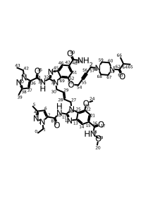 CCn1nc(C)cc1C(=O)Nc1nc2cc(C(=O)NOC)cc(OC)c2n1CC=CCn1c(NC(=O)c2cc(C)nn2CC)nc2cc(C(N)=O)cc(OCC#CCN3CCN(C(=O)C(C)C)CC3)c21